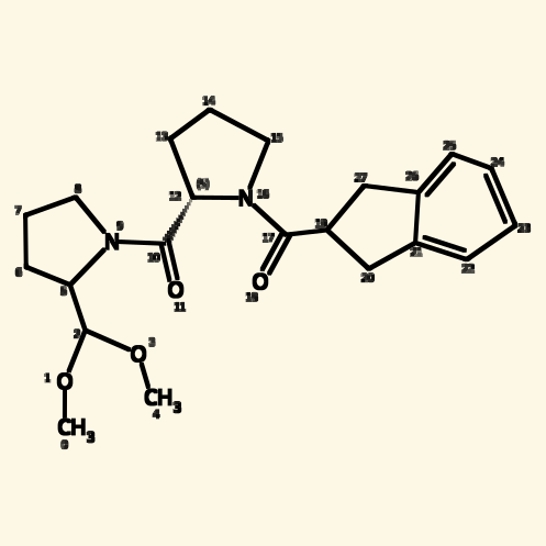 COC(OC)C1CCCN1C(=O)[C@@H]1CCCN1C(=O)C1Cc2ccccc2C1